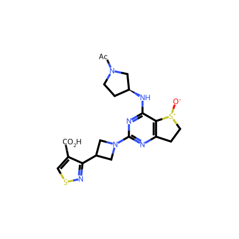 CC(=O)N1CC[C@H](Nc2nc(N3CC(c4nscc4C(=O)O)C3)nc3c2[S+]([O-])CC3)C1